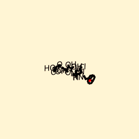 O=P(O)(O)CP(=O)(O)CCC1OC(n2cnc3c(NCCC45CC6CC(CC(C6)C4)C5)nc(Cl)nc32)C(O)C1O